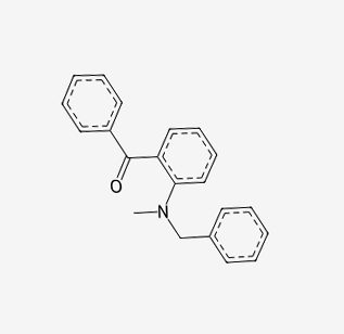 CN(Cc1ccccc1)c1ccccc1C(=O)c1ccccc1